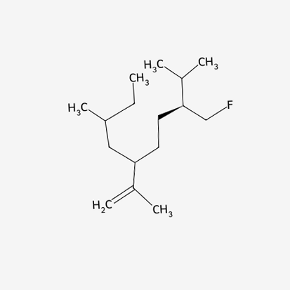 C=C(C)C(CC[C@H](CF)C(C)C)CC(C)CC